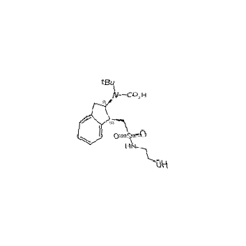 CC(C)(C)N(C(=O)O)[C@@H]1Cc2ccccc2[C@@H]1CS(=O)(=O)NCCO